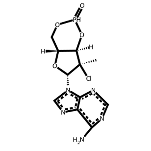 C[C@@]1(Cl)[C@@H]2O[PH](=O)OC[C@H]2O[C@H]1n1cnc2c(N)ncnc21